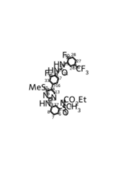 CCOC(=O)N=S(C)(=O)c1cccc(Nc2ncc(-c3ccc(NC(=O)Nc4cc(C(F)(F)F)ccc4F)c(F)c3)c(SC)n2)c1